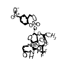 CC(=O)O[C@@H]1[C@@H](COP2(=O)OCc3cc([N+](=O)[O-])ccc3O2)O[C@@H](n2ccc(=O)[nH]c2=O)[C@]1(C)NC(=O)C(F)(F)F